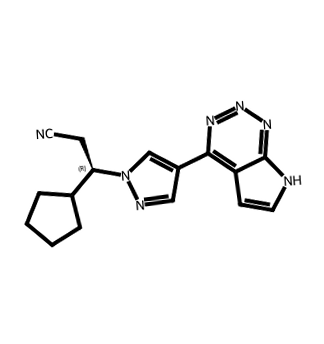 N#CC[C@H](C1CCCC1)n1cc(-c2nnnc3[nH]ccc23)cn1